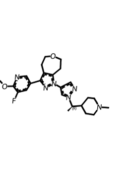 COc1ncc(-c2nn(-c3cnn([C@H](C)C4CCN(C)CC4)c3)c3c2CCOCC3)cc1F